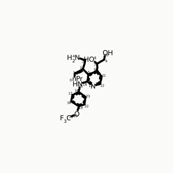 CCC/C=C(/CN)c1c(C(O)CO)ccnc1Nc1ccc(OC(F)(F)F)cc1